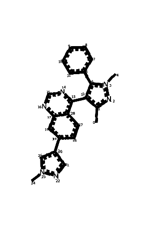 Cc1nn(C)c(-c2ccccc2)c1-c1ncnc2cc(-c3cnn(C)c3)ccc12